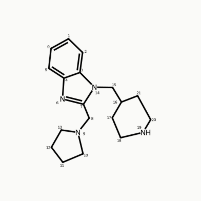 c1ccc2c(c1)nc(CN1CCCC1)n2CC1CCNCC1